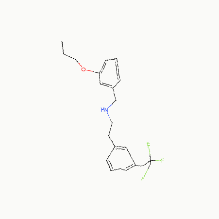 CCCOc1cccc(CNCCc2cccc(C(F)(F)F)c2)c1